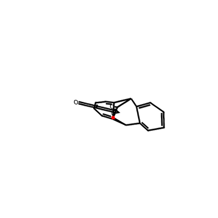 O=C1OC2C3c4ccccc4C(c4ccccc43)C2O1